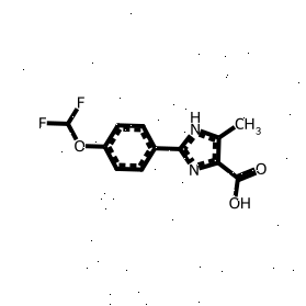 Cc1[nH]c(-c2ccc(OC(F)F)cc2)nc1C(=O)O